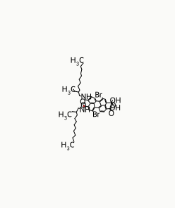 CCCCCCCCCCC(CC)CNC(=O)c1ccc2c3c(Br)cc(C(=O)O)c4c(C(=O)O)ccc(c5c(Br)cc(C(=O)NCC(CC)CCCCCCCCCC)c1c25)c43